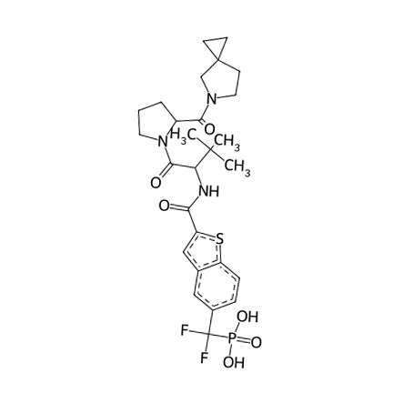 CC(C)(C)C(NC(=O)c1cc2cc(C(F)(F)P(=O)(O)O)ccc2s1)C(=O)N1CCCC1C(=O)N1CCC2(CC2)C1